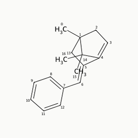 CC12CC=C(C(=Cc3ccccc3)C1)C2(C)C